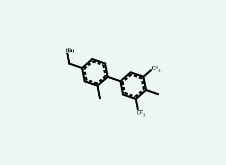 Cc1cc(CC(C)(C)C)ccc1-c1cc(C(F)(F)F)c(C)c(C(F)(F)F)c1